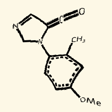 COc1ccc(N2CN=CC2=C=O)c(C)c1